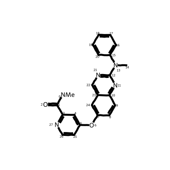 CNC(=O)c1cc(Oc2ccc3nc(N(C)c4ccccc4)ncc3c2)ccn1